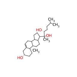 CC(C)CC[C@@H](O)[C@](C)(O)C1CCC2C3CC=C4C[C@@H](O)CC[C@]4(C)C3CCC21